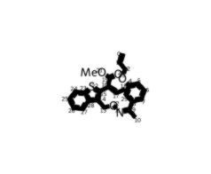 C=CCOc1cccc(C(C)=NOCc2c(C(=CC)C(=O)OC)sc3ccccc23)c1